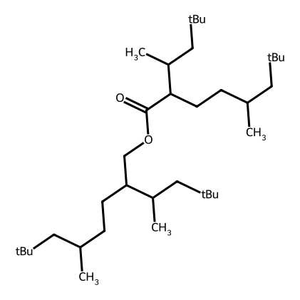 CC(CCC(COC(=O)C(CCC(C)CC(C)(C)C)C(C)CC(C)(C)C)C(C)CC(C)(C)C)CC(C)(C)C